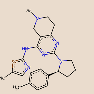 CC(=O)N1CCc2nc(N3CCC[C@H]3c3ccc(C)cc3)nc(Nc3ncc(C#N)s3)c2C1